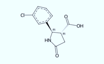 O=C1C[C@@H](C(=O)O)[C@H](c2cccc(Cl)c2)N1